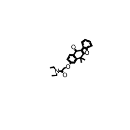 CCN(CC)C(=O)COc1ccc2c(c1)C(C)(C)c1oc3ccccc3c1C2=O